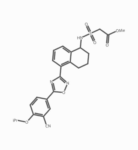 COC(=O)CS(=O)(=O)NC1CCCc2c(-c3noc(-c4ccc(OC(C)C)c(C#N)c4)n3)cccc21